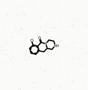 O=C1c2c(Cl)cccc2CC2CNCCN12